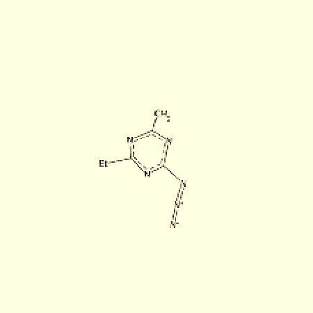 CCc1nc(C)nc(N=[N+]=[N-])n1